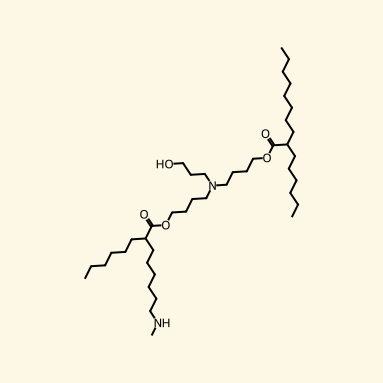 CCCCCCCCC(CCCCCC)C(=O)OCCCCN(CCCO)CCCCOC(=O)C(CCCCCC)CCCCCCNC